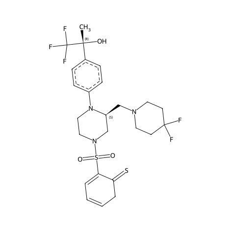 C[C@@](O)(c1ccc(N2CCN(S(=O)(=O)C3=CC=CCC3=S)C[C@@H]2CN2CCC(F)(F)CC2)cc1)C(F)(F)F